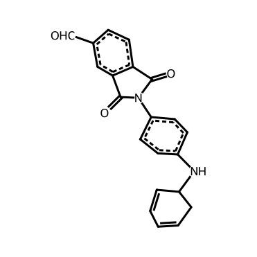 O=Cc1ccc2c(c1)C(=O)N(c1ccc(NC3C=CC=CC3)cc1)C2=O